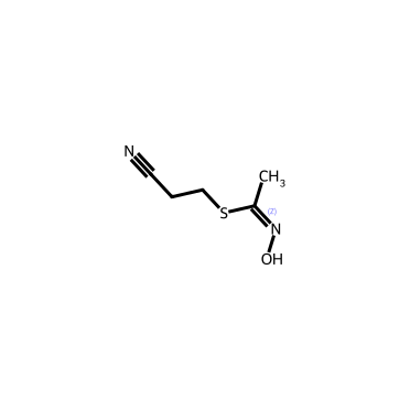 C/C(=N/O)SCCC#N